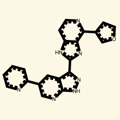 c1ccc(-c2cnc3[nH]nc(-c4nc5c(-c6ccoc6)nccc5[nH]4)c3c2)nc1